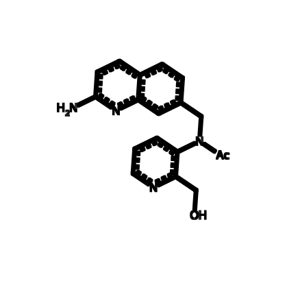 CC(=O)N(Cc1ccc2ccc(N)nc2c1)c1cccnc1CO